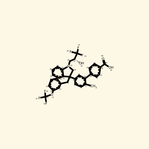 Cc1ccc(C2(Cc3cccc(OC(F)(F)F)c3)CN(C[C@@H](O)C(F)(F)F)c3ccccc32)cc1-c1ccc(C(=O)O)cc1